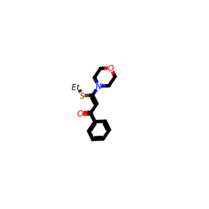 CCSC(=CC(=O)c1ccccc1)N1CCOCC1